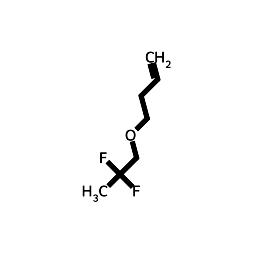 C=CCCOCC(C)(F)F